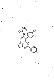 NC(=O)N1C(=O)C(=C(OC(=O)c2ccccn2)c2cccs2)c2cc(F)c(Cl)cc21